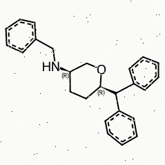 c1ccc(CN[C@@H]2CC[C@H](C(c3ccccc3)c3ccccc3)OC2)cc1